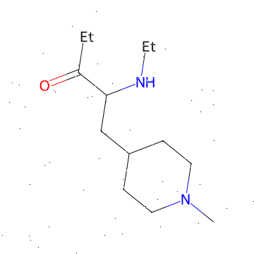 CCNC(CC1CCN(C)CC1)C(=O)CC